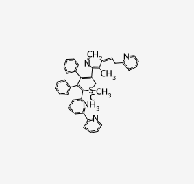 C=N/C(C1=C(c2ccccc2)C(c2ccccc2)=C(c2cccc(-c3ccccn3)n2)S(C)(C)C1)=C(C)\C=C/Cc1ccccn1